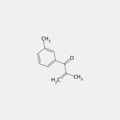 C=C(C)C(=O)c1cccc(C)c1